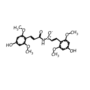 COc1cc(O)cc(OC)c1C=CC(=O)N[S+]([O-])C=Cc1c(OC)cc(O)cc1OC